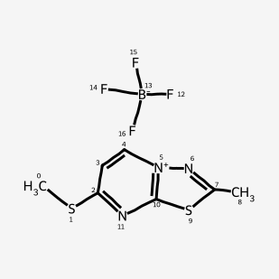 CSc1cc[n+]2nc(C)sc2n1.F[B-](F)(F)F